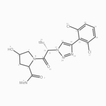 CNC(=O)C1CC(O)CN1C(=O)[C@@H](n1cc(-c2c(Cl)cccc2Cl)nn1)C(C)(C)C